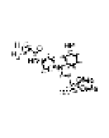 C=C(C)C(=O)Nc1ccc(N(CCC[Si](OC)(OC)OC)c2ccccc2)cc1.I